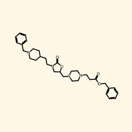 O=C(CCN1CCN(CC2CN(CCC3CCN(Cc4ccccc4)CC3)C(=O)O2)CC1)OCc1ccccc1